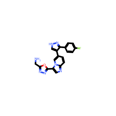 NCc1nnc(-c2cnc3ccc(-c4c[nH]nc4-c4ccc(F)cc4)cn23)o1